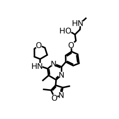 CNCC(O)COc1cccc(-c2nc(NC3CCOCC3)c(C)c(-c3c(C)noc3C)n2)c1